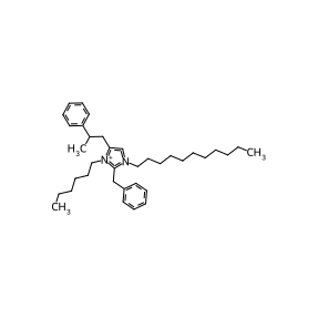 CCCCCCCCCCCn1cc(CC(C)c2ccccc2)[n+](CCCCCC)c1Cc1ccccc1